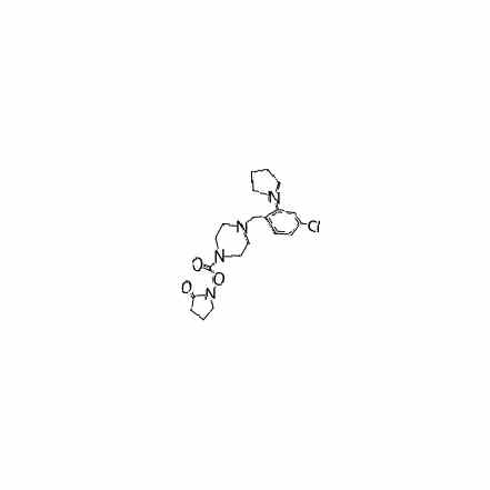 O=C(ON1CCCC1=O)N1CCN(Cc2ccc(Cl)cc2N2CCCC2)CC1